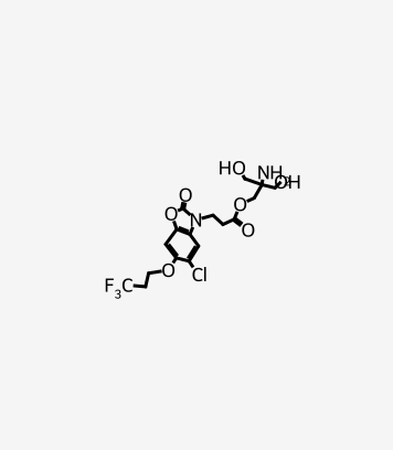 NC(CO)(CO)COC(=O)CCn1c(=O)oc2cc(OCCC(F)(F)F)c(Cl)cc21